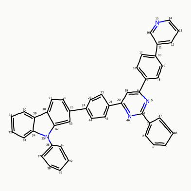 c1ccc(-c2nc(-c3ccc(-c4cccnc4)cc3)cc(-c3ccc(-c4ccc5c6ccccc6n(-c6ccccc6)c5c4)cc3)n2)cc1